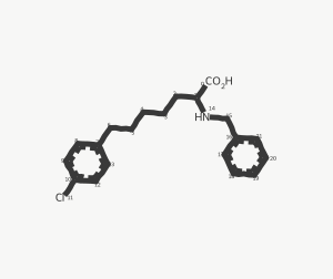 O=C(O)C(CCCCCc1ccc(Cl)cc1)NCc1ccccc1